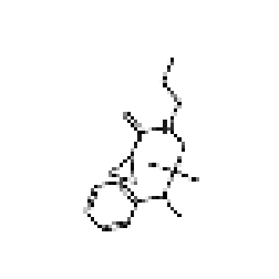 C=C(C1CC1)N(CCC)CC(C)(C)C(C)c1ccccc1